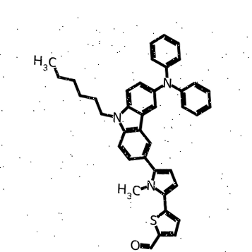 CCCCCCn1c2ccc(-c3ccc(-c4ccc(C=O)s4)n3C)cc2c2cc(N(c3ccccc3)c3ccccc3)ccc21